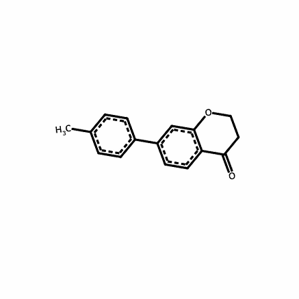 Cc1ccc(-c2ccc3c(c2)OCCC3=O)cc1